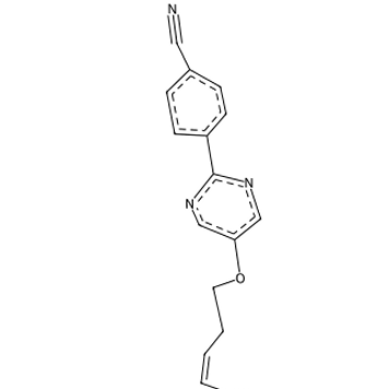 C/C=C\CCOc1cnc(-c2ccc(C#N)cc2)nc1